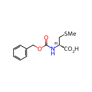 CSC[C@H](NC(=O)OCc1ccccc1)C(=O)O